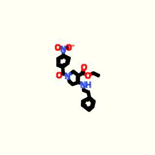 CCOC(=O)C1=C(NCCc2ccccc2)CCN(C(=O)c2ccc([N+](=O)[O-])cc2)C1